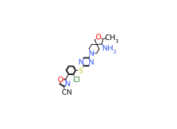 C[C@@H]1OCC2(CCN(c3cnc(Sc4cccc(-c5nc(C#N)co5)c4Cl)cn3)CC2)[C@@H]1N